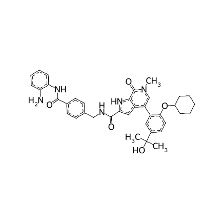 Cn1cc(-c2cc(C(C)(C)O)ccc2OC2CCCCC2)c2cc(C(=O)NCc3ccc(C(=O)Nc4ccccc4N)cc3)[nH]c2c1=O